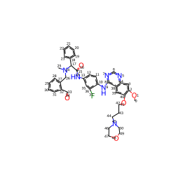 COc1cc2ncnc(Nc3ccc(NC(=O)C(c4ccccc4)N(C)Cc4ccccc4C=O)cc3F)c2cc1OCCCN1CCOCC1